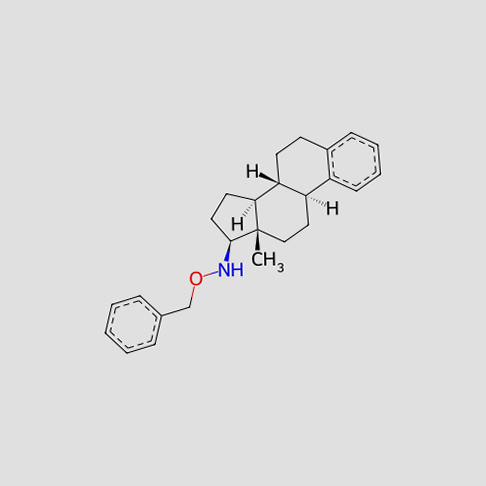 C[C@]12CC[C@@H]3c4ccccc4CC[C@H]3[C@@H]1CC[C@@H]2NOCc1ccccc1